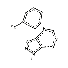 CC(=O)c1ccccc1.c1ncc2[nH]nnc2n1